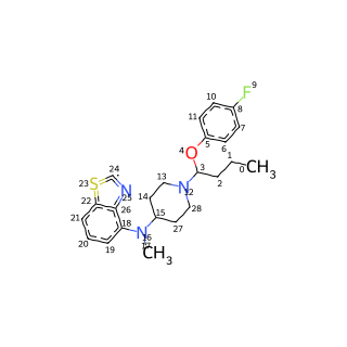 CCCC(Oc1ccc(F)cc1)N1CCC(N(C)c2cccc3s[c]nc23)CC1